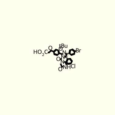 CC(C)(C)Oc1cc(C(=O)CC(=O)O)ccc1C1=N[C@@H](c2ccc(Br)cc2)[C@@H](c2ccc(Cl)cc2)N1C(=O)N1CCNC(=O)C1